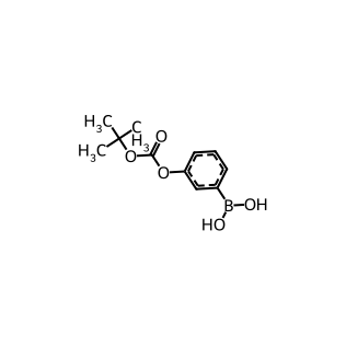 CC(C)(C)OC(=O)Oc1cccc(B(O)O)c1